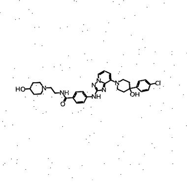 O=C(NCCN1CCC(O)CC1)c1ccc(Nc2nc3c(N4CCC(O)(c5ccc(Cl)cc5)CC4)cccn3n2)cc1